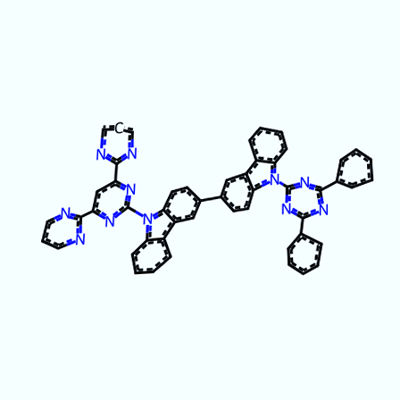 c1ccc(-c2nc(-c3ccccc3)nc(-n3c4ccccc4c4cc(-c5ccc6c(c5)c5ccccc5n6-c5nc(-c6ncccn6)cc(-c6ncccn6)n5)ccc43)n2)cc1